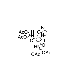 CC(=O)OCC(COC(C)=O)NC(=O)c1c(I)c(C(=O)NC(COC(C)=O)COC(C)=O)c(I)c(N2CCCC(Br)C2=O)c1I